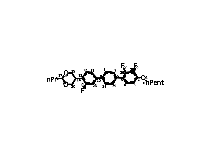 CCCCCOc1ccc(-c2ccc(-c3ccc(C4COC(CCC)OC4)c(F)c3)cc2)c(F)c1F